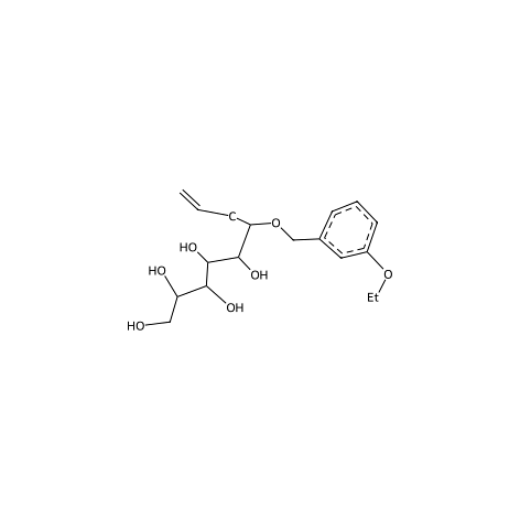 C=CCC(OCc1cccc(OCC)c1)C(O)C(O)C(O)C(O)CO